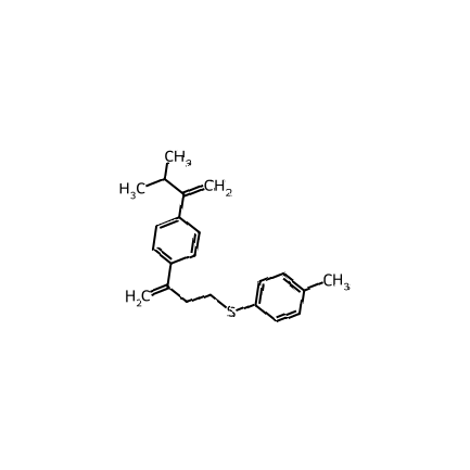 C=C(CCSc1ccc(C)cc1)c1ccc(C(=C)C(C)C)cc1